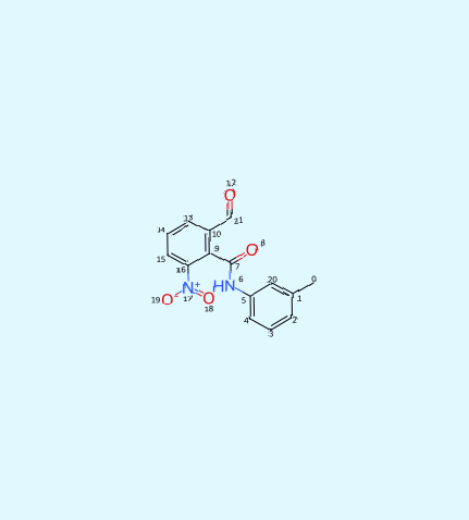 Cc1cccc(NC(=O)c2c(C=O)cccc2[N+](=O)[O-])c1